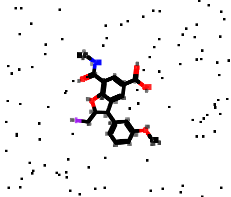 CNC(=O)c1cc(C(=O)O)cc2c1OC(CI)C2c1cccc(OC)c1